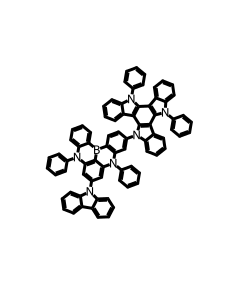 c1ccc(N2c3ccccc3B3c4ccc(-n5c6ccccc6c6c7c(c8ccccc8n7-c7ccccc7)c7c(c8ccccc8n7-c7ccccc7)c65)cc4N(c4ccccc4)c4cc(-n5c6ccccc6c6ccccc65)cc2c43)cc1